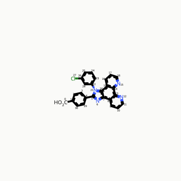 O=C(O)c1ccc(-c2nc3c4cccnc4c4ncccc4c3n2-c2cccc(Cl)c2)cc1